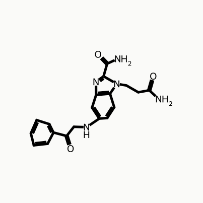 NC(=O)CCn1c(C(N)=O)nc2cc(NCC(=O)c3ccccc3)ccc21